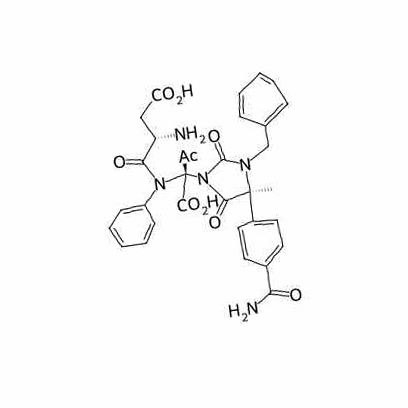 CC(=O)[C@](C(=O)O)(N1C(=O)N(Cc2ccccc2)[C@@](C)(c2ccc(C(N)=O)cc2)C1=O)N(C(=O)[C@@H](N)CC(=O)O)c1ccccc1